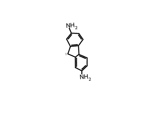 Nc1ccc2c(c1)[C]c1cc(N)ccc1-2